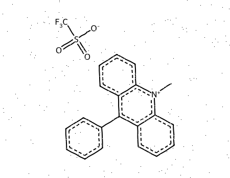 C[n+]1c2ccccc2c(-c2ccccc2)c2ccccc21.O=S(=O)([O-])C(F)(F)F